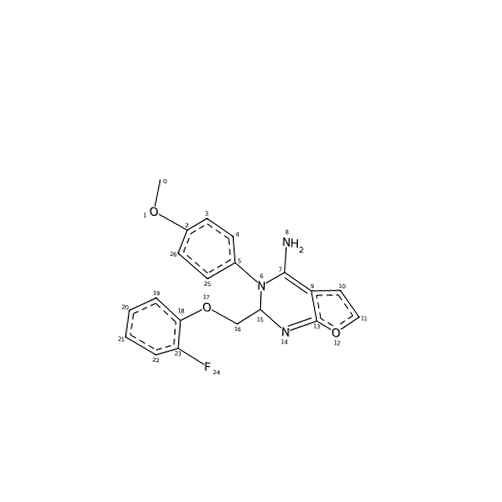 COc1ccc(N2C(N)=c3ccoc3=NC2COc2ccccc2F)cc1